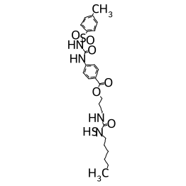 CCCCCCN(S)C(=O)NCCCOC(=O)c1ccc(NC(=O)NS(=O)(=O)c2ccc(C)cc2)cc1